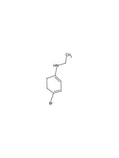 CCNC1=CC=C(Br)CC1